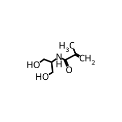 C=C(C)C(=O)NC(CO)CO